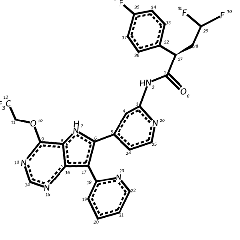 O=C(Nc1cc(-c2[nH]c3c(OCC(F)(F)F)ncnc3c2-c2ccccn2)ccn1)[C@H](CC(F)F)c1ccc(F)cc1